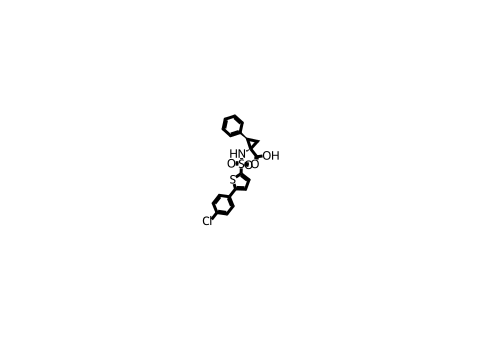 O=C(O)[C@]1(NS(=O)(=O)c2ccc(-c3ccc(Cl)cc3)s2)C[C@@H]1c1ccccc1